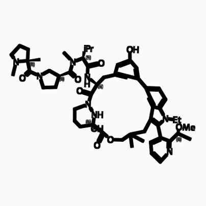 CCn1c(-c2cccnc2[C@H](C)OC)c2c3cc(ccc31)-c1cc(O)cc(c1)C[C@H](NC(=O)[C@H](C(C)C)N(C)C(=O)[C@H]1CCN(C(=O)[C@@]3(C)CCCN3C)C1)C(=O)N1CCC[C@@](O)(N1)C(=O)OCC(C)(C)C2